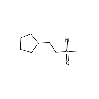 CS(=N)(=O)CCN1CCCC1